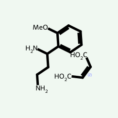 COc1ccccc1C(N)CCN.O=C(O)/C=C\C(=O)O